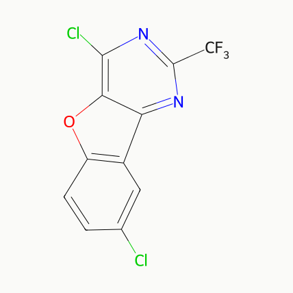 FC(F)(F)c1nc(Cl)c2oc3ccc(Cl)cc3c2n1